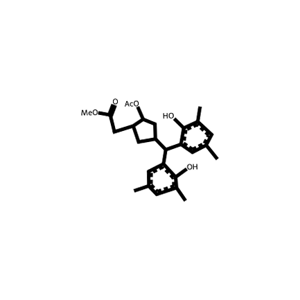 COC(=O)CC1CC(C(c2cc(C)cc(C)c2O)c2cc(C)cc(C)c2O)CC1OC(C)=O